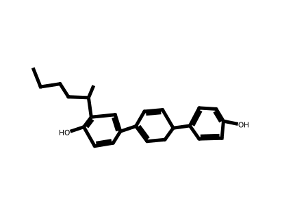 CCCCC(C)c1cc(C2=CCC(c3ccc(O)cc3)C=C2)ccc1O